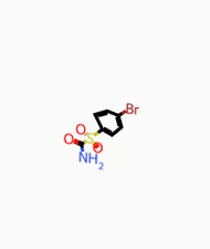 NC(=O)S(=O)(=O)c1ccc(Br)cc1